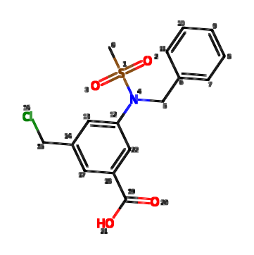 CS(=O)(=O)N(Cc1ccccc1)c1cc(CCl)cc(C(=O)O)c1